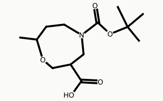 CC1CCN(C(=O)OC(C)(C)C)CC(C(=O)O)CO1